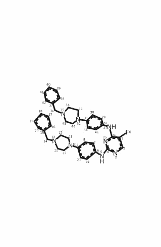 Fc1cnc(Nc2ccc(N3CCN(Cc4ccccc4)CC3)cc2)nc1Nc1ccc(N2CCN(Cc3ccccc3)CC2)cc1